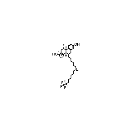 CN(CCCCCC[C@@H]1Cc2cc(O)ccc2[C@@H]2[C@@H]1[C@@H]1CC[C@@H](O)[C@@]1(C)C[C@@H]2F)CCCCCCC(F)(F)C(F)(F)F